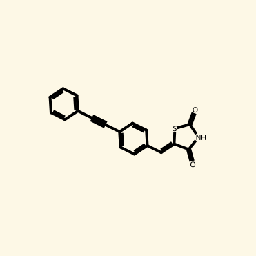 O=C1NC(=O)/C(=C/c2ccc(C#Cc3ccccc3)cc2)S1